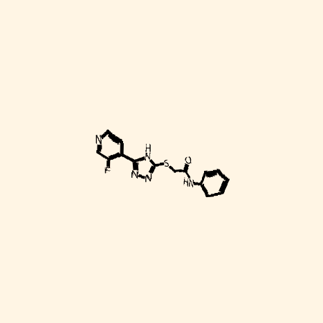 O=C(CSc1nnc(-c2ccncc2F)[nH]1)Nc1ccccc1